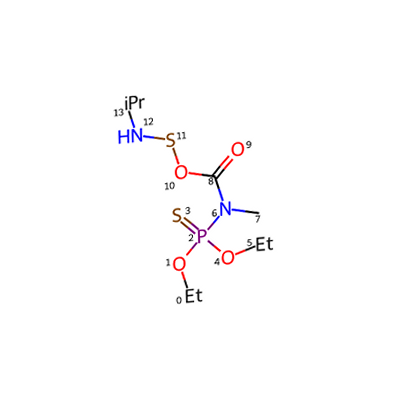 CCOP(=S)(OCC)N(C)C(=O)OSNC(C)C